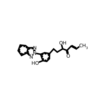 CC=CC(=O)C(O)CCc1ccc(O)c(-n2nc3ccccc3n2)c1